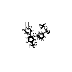 CC(C)(C)OC=O.FC(F)(F)c1ccc(N2CCNCC2)c(Oc2ncccn2)c1